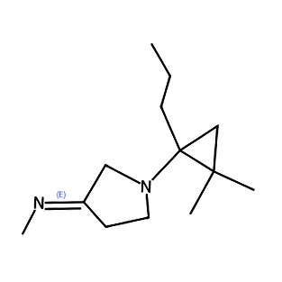 CCCC1(N2CC/C(=N\C)C2)CC1(C)C